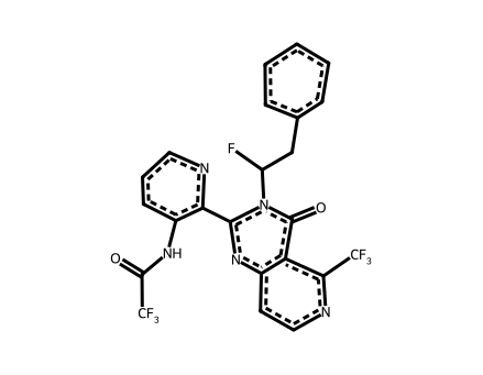 O=C(Nc1cccnc1-c1nc2ccnc(C(F)(F)F)c2c(=O)n1C(F)Cc1ccccc1)C(F)(F)F